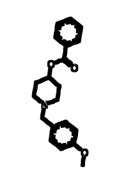 COc1ccc(CN2CCC(OC(=O)c3ccccc3)CC2)cc1